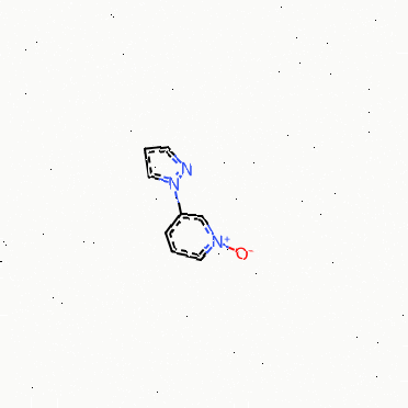 [O-][n+]1cccc(-n2cccn2)c1